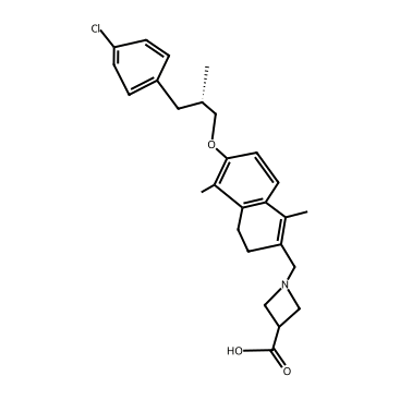 CC1=C(CN2CC(C(=O)O)C2)CCc2c1ccc(OC[C@@H](C)Cc1ccc(Cl)cc1)c2C